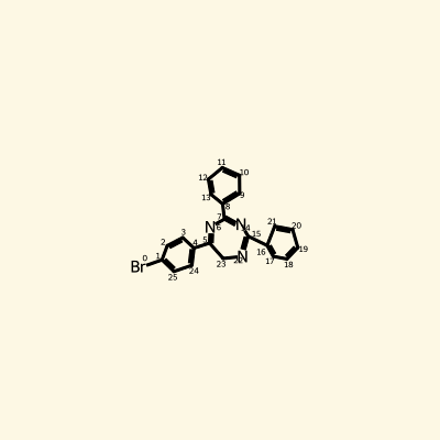 Brc1ccc(C2=NC(c3ccccc3)=NC(c3ccccc3)=NC2)cc1